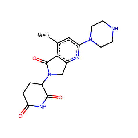 COc1cc(N2CCNCC2)nc2c1C(=O)N(C1CCC(=O)NC1=O)C2